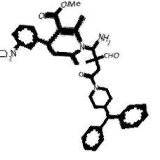 COC(=O)C1=C(C)N(C(N)C(C)(C=O)CC(=O)N2CCC(C(c3ccccc3)c3ccccc3)CC2)C(C)=CC1c1cccc([N+](=O)[O-])c1